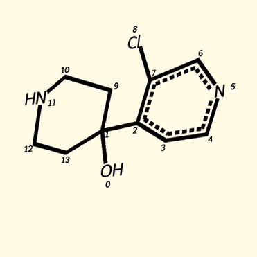 OC1(c2ccncc2Cl)CCNCC1